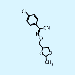 CC1OCC(CO/N=C(\C#N)c2ccc(Cl)cc2)O1